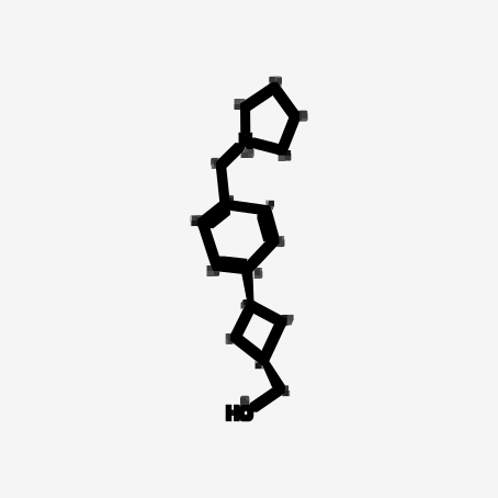 OC[C@H]1C[C@@H](c2ccc(CN3CCCC3)cc2)C1